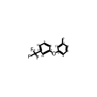 Cc1[c]ccc(Oc2cccc(C(F)(F)F)c2)c1